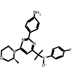 C[C@H]1COCCN1c1cc(C(C)(C)[S+]([O-])c2ccc(F)cc2)nc(-c2ccc(N)cc2)n1